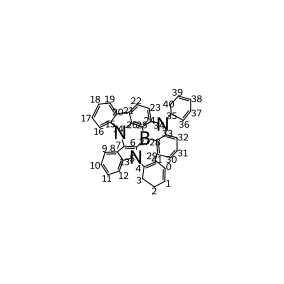 C1=CCCC(n2c3c(c4ccccc42)-n2c4ccccc4c4ccc5c(c42)B3c2ccccc2N5C2C=CC=CC2)=C1